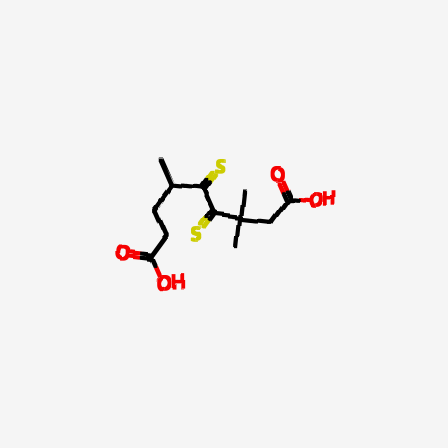 CC(CCC(=O)O)C(=S)C(=S)C(C)(C)CC(=O)O